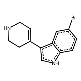 Brc1ccc2[nH]cc(C3=CCNCC3)c2c1